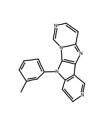 Cc1cccc(-n2c3ccncc3c3nc4ccncn4c32)c1